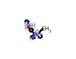 CC#CC(=O)N1CCCC[C@H]1c1nc(-c2ccc(C(=O)Nc3ccccn3)cc2)c2cnccn12